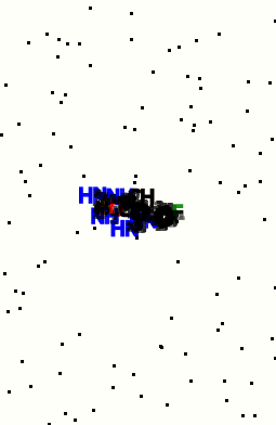 CC(C)(CC(=O)NC(=N)SC=N)c1ccc(Nc2ccc(F)cc2)c(C=N)c1